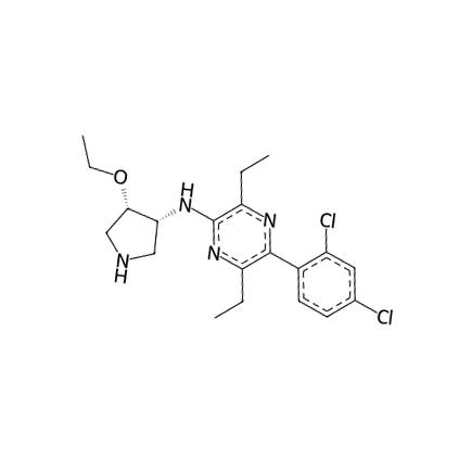 CCO[C@H]1CNC[C@H]1Nc1nc(CC)c(-c2ccc(Cl)cc2Cl)nc1CC